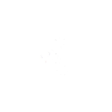 NC(=O)c1nnc(CC2CCCNC2)c2cc(-c3cccc(F)c3)sc12